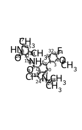 COc1cc(-c2cc(C(=O)NCc3c(C)cc(C)[nH]c3=O)c3c(Cl)cn(C(C)C)c3c2)ccc1F